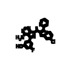 CC(c1cc2cc(Cl)ccn2c1-c1ccccn1)n1nc(-c2cc(O)cc(F)c2)c2c(N)ncnc21